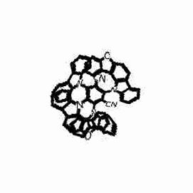 N#Cc1c(-n2c3ccccc3c3ccccc32)c(-n2c3ccccc3c3ccc4oc5ccccc5c4c32)c(-n2c3ccccc3c3ccccc32)c(C#N)c1-n1c2ccccc2c2ccc3oc4ccccc4c3c21